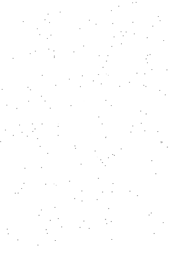 Oc1cc(N(c2ccccc2)c2cccc3ccccc23)ccc1C1C(O)C(c2ccc(N(c3ccccc3)c3cccc4ccccc34)cc2O)C1O